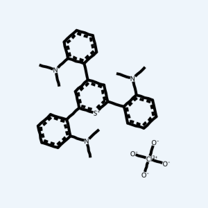 CN(C)c1ccccc1-c1cc(-c2ccccc2N(C)C)[s+]c(-c2ccccc2N(C)C)c1.[O-][Cl+3]([O-])([O-])[O-]